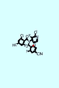 N#Cc1cc(F)c(C(=O)N(C(=O)c2c(F)cc(C#N)cc2Cl)c2ccnc(Cl)c2F)c(Cl)c1